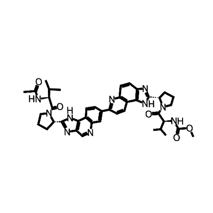 COC(=O)N[C@H](C(=O)N1CCC[C@H]1c1nc2ccc3nc(-c4ccc5c(c4)ncc4nc([C@@H]6CCCN6C(=O)[C@@H](NC(C)=O)C(C)C)[nH]c45)ccc3c2[nH]1)C(C)C